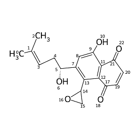 CC(C)=CC[C@@H](O)c1cc(O)c2c(c1C1CO1)C(=O)C=CC2=O